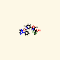 Cc1oc([C@@H]2CC[C@@H](C)N(C(=O)c3ccccc3-n3nccn3)C2)nc1[C@@H](O)C(F)(F)F